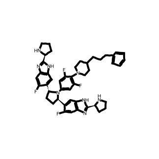 Fc1cc2nc([C@@H]3CCCN3)[nH]c2cc1[C@H]1CC[C@H](c2cc3[nH]c([C@@H]4CCCN4)nc3cc2F)N1c1cc(F)c(N2CCC(CCCc3ccccc3)CC2)c(F)c1